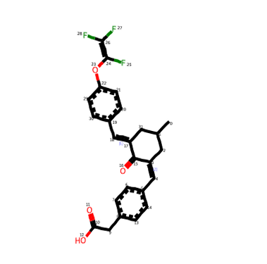 CC1C/C(=C/c2ccc(CC(=O)O)cc2)C(=O)/C(=C/c2ccc(OC(F)=C(F)F)cc2)C1